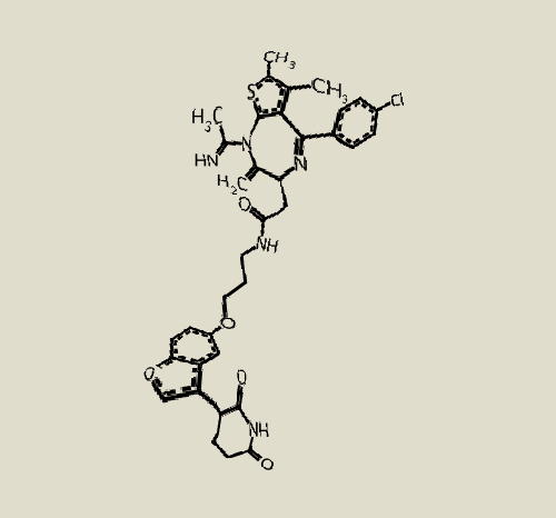 C=C1[C@H](CC(=O)NCCCOc2ccc3occ(C4CCC(=O)NC4=O)c3c2)N=C(c2ccc(Cl)cc2)c2c(sc(C)c2C)N1C(C)=N